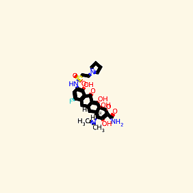 CN(C)[C@@H]1C(O)=C(C(N)=O)C(=O)[C@@]2(O)C(O)=C3C(=O)c4c(O)c(NS(=O)(=O)CCN5CCCC5)cc(F)c4C[C@H]3C[C@@H]12